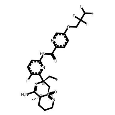 C[C@@]12CCCN=[S@]1(=O)C[C@@](CF)(c1nc(NC(=O)c3ccc(OCC(F)(F)C(F)F)cn3)ccc1F)N=C2N